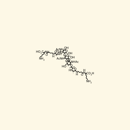 CC(=O)N[C@H]1[C@H](OC2[C@@H](CO)O[C@H](O)[C@H](NC(C)=O)[C@H]2O[C@H](C)C(=O)N[C@@H](C)C(=O)NCCCC(=O)N[C@@H](CCCCN)C(=O)O)O[C@H](CO)[C@@H](O[C@@H]2O[C@H](CO)[C@@H](C)[C@H](O[C@H](C)C(=O)N[C@@H](C)C(=O)NCCCC(=O)N[C@@H](CCCCN)C(=O)O)[C@H]2NC(C)=O)[C@@H]1O